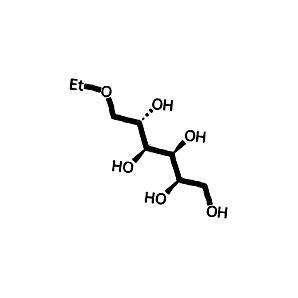 CCOC[C@H](O)[C@H](O)[C@@H](O)[C@H](O)CO